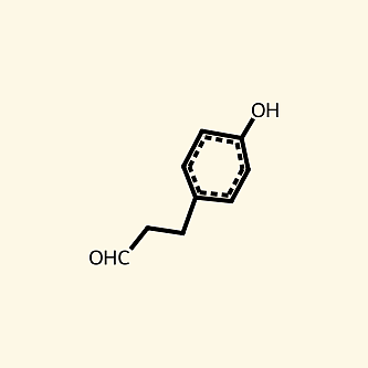 O=CCCc1ccc(O)cc1